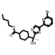 CCCCOC(=O)C1CCC([C@](C)(O)c2ncc(-c3cccc(Br)n3)s2)CC1